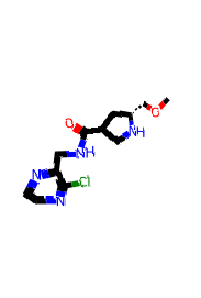 COC[C@H]1CC(C(=O)NCc2nccnc2Cl)CN1